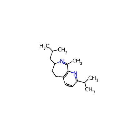 CC1=NC(CC(C)C)CCc2ccc(C(C)C)nc21